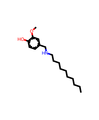 CCCCCCCCCCNCc1ccc(O)c(OC)c1